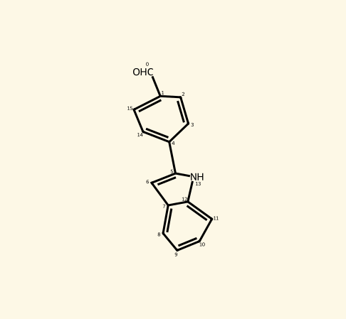 O=Cc1ccc(-c2cc3ccccc3[nH]2)cc1